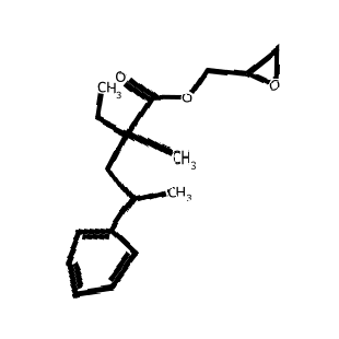 CCC(C)(CC(C)c1ccccc1)C(=O)OCC1CO1